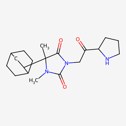 CN1C(=O)N(CC(=O)C2CCCN2)C(=O)C1(C)C1CC2CCC1CC2